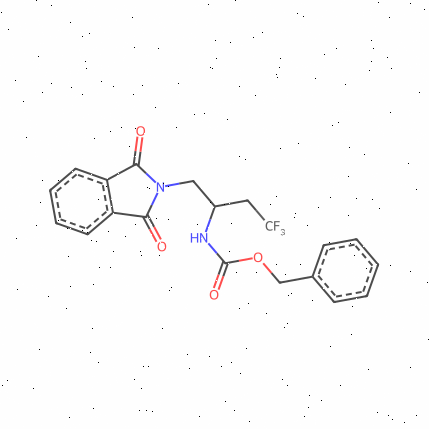 O=C(NC(CN1C(=O)c2ccccc2C1=O)CC(F)(F)F)OCc1ccccc1